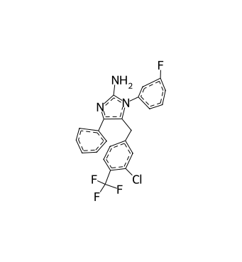 Nc1nc(-c2ccccc2)c(Cc2ccc(C(F)(F)F)c(Cl)c2)n1-c1cccc(F)c1